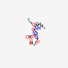 COC1CN(c2ccc(C(=O)NC(COCCCF)C(C)C)nc2OCC2(CO)COC2)C1